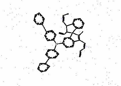 C=C/C=C\C1=C(C)C2(c3cc(N(c4ccc(-c5ccccc5)cc4)c4ccc(-c5ccccc5)cc4)ccc31)c1ccccc1C(/C=C\C)C2C=C